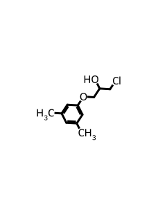 Cc1cc(C)cc(OCC(O)CCl)c1